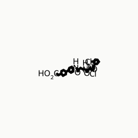 O=C(O)CC1CCC(c2ccc(NC(=O)CCNC(=O)c3nc(-c4ccccc4Cl)oc3Cl)cc2)CC1